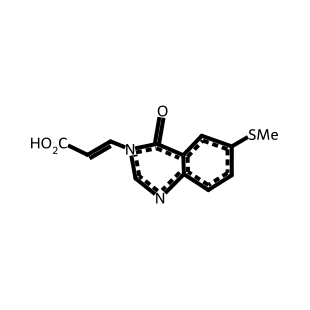 CSc1ccc2ncn(C=CC(=O)O)c(=O)c2c1